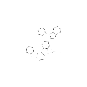 CC(C)(C)C1(C)C2=C(c3ccc(-c4nc5ccccc5n4-c4ccccc4)cc31)C1c3ccccc3OC1C=C2